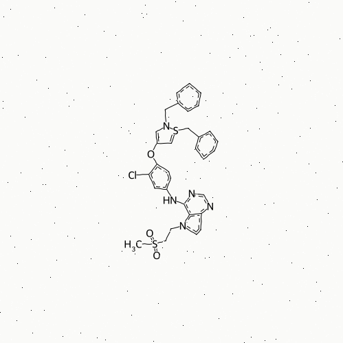 CS(=O)(=O)CCn1ccc2ncnc(Nc3ccc(OC4=CN(Cc5ccccc5)S(Cc5ccccc5)=C4)c(Cl)c3)c21